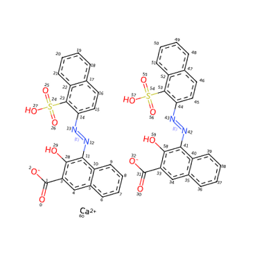 O=C([O-])c1cc2ccccc2c(/N=N/c2ccc3ccccc3c2S(=O)(=O)O)c1O.O=C([O-])c1cc2ccccc2c(/N=N/c2ccc3ccccc3c2S(=O)(=O)O)c1O.[Ca+2]